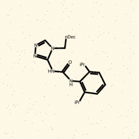 CCCCCCCCCCCn1cnnc1NC(=O)Nc1c(C(C)C)cccc1C(C)C